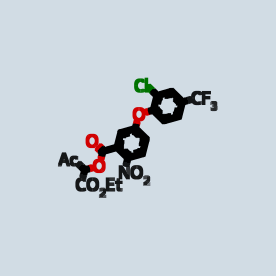 CCOC(=O)C(OC(=O)c1cc(Oc2ccc(C(F)(F)F)cc2Cl)ccc1[N+](=O)[O-])C(C)=O